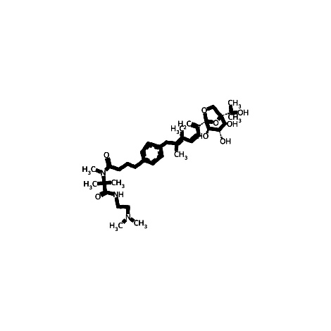 C=C(/C=C\C(C)=C(/C)Cc1ccc(CCCC(=O)N(C)C(C)(C)C(=O)NCCN(C)C)cc1)[C@]12OC[C@](C(C)(C)O)(O1)[C@@H](O)[C@H](O)[C@H]2O